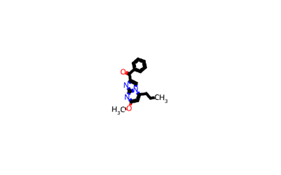 CCCc1cc(OC)nc2nc(C(=O)c3ccccc3)cn12